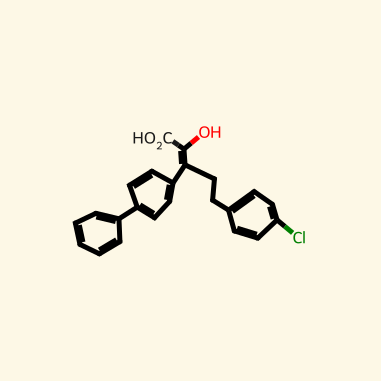 O=C(O)/C(O)=C(/CCc1ccc(Cl)cc1)c1ccc(-c2ccccc2)cc1